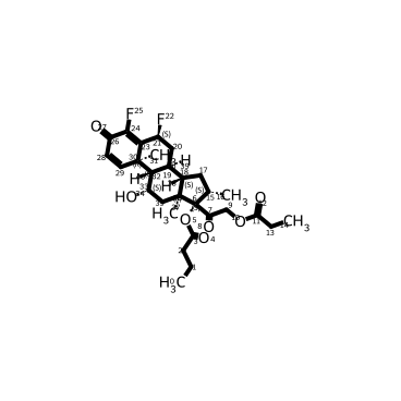 CCCC(=O)O[C@@]1(C(=O)COC(=O)CC)[C@@H](C)C[C@H]2[C@@H]3C[C@H](F)C4=C(F)C(=O)C=C[C@]4(C)[C@H]3[C@@H](O)C[C@@]21C